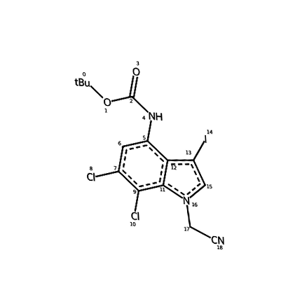 CC(C)(C)OC(=O)Nc1cc(Cl)c(Cl)c2c1c(I)cn2CC#N